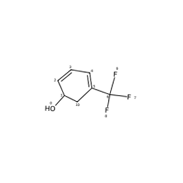 OC1C=CC=C(C(F)(F)F)C1